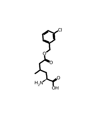 CC(CC(=O)OCc1cccc(Cl)c1)C[C@H](N)C(=O)O